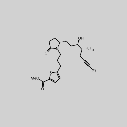 CCC#CC[C@@H](C)[C@H](O)CC[C@H]1CCC(=O)N1CCCc1ccc(C(=O)OC)s1